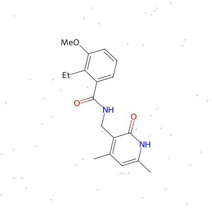 CCc1c(OC)cccc1C(=O)NCc1c(C)cc(C)[nH]c1=O